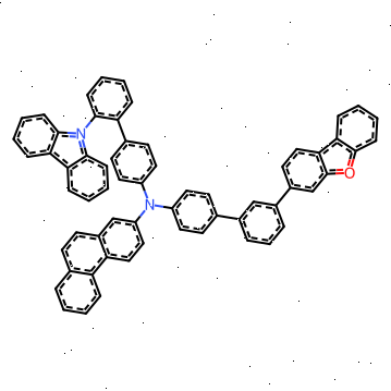 c1cc(-c2ccc(N(c3ccc(-c4ccccc4-n4c5ccccc5c5ccccc54)cc3)c3ccc4c(ccc5ccccc54)c3)cc2)cc(-c2ccc3c(c2)oc2ccccc23)c1